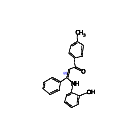 Cc1ccc(C(=O)/C=C(\Nc2ccccc2O)c2ccccc2)cc1